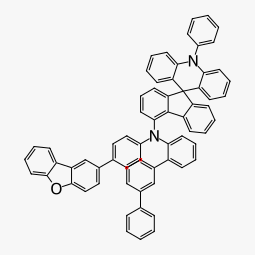 c1ccc(-c2cccc(-c3ccccc3N(c3ccc(-c4ccc5oc6ccccc6c5c4)cc3)c3cccc4c3-c3ccccc3C43c4ccccc4N(c4ccccc4)c4ccccc43)c2)cc1